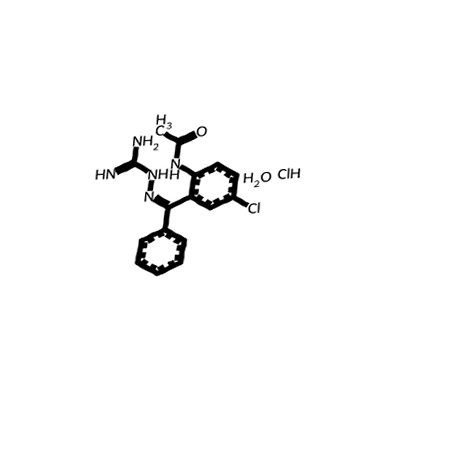 CC(=O)Nc1ccc(Cl)cc1/C(=N\NC(=N)N)c1ccccc1.Cl.O